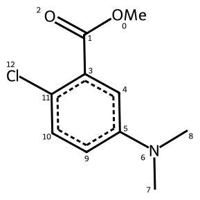 COC(=O)c1cc(N(C)C)ccc1Cl